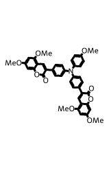 COc1ccc(N(c2ccc(-c3cc4c(OC)cc(OC)cc4oc3=O)cc2)c2ccc(-c3cc4c(OC)cc(OC)cc4oc3=O)cc2)cc1